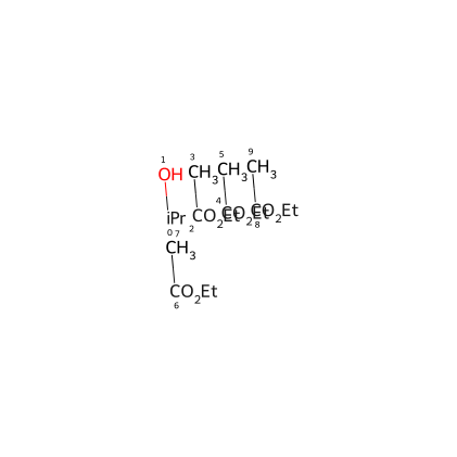 CC(C)O.CCOC(C)=O.CCOC(C)=O.CCOC(C)=O.CCOC(C)=O